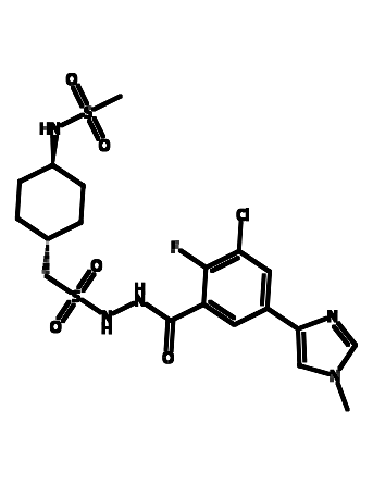 Cn1cnc(-c2cc(Cl)c(F)c(C(=O)NNS(=O)(=O)C[C@H]3CC[C@H](NS(C)(=O)=O)CC3)c2)c1